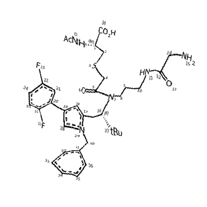 CC(=O)N[C@@H](CSCC(=O)N(CCCNC(=O)CN)[C@@H](c1cc(-c2cc(F)ccc2F)cn1Cc1ccccc1)C(C)(C)C)C(=O)O